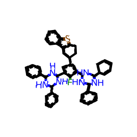 Fc1c(C2NC(c3ccccc3)NC(c3ccccc3)N2)cc(C2CCc3sc4ccccc4c3C2)cc1C1NC(c2ccccc2)NC(C2C=CC=CC2)N1